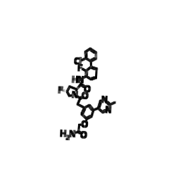 Cc1ncc(-c2cc(CC(=O)N3C[C@H](F)C[C@H]3C(=O)Nc3cccc(-c4ccccc4Cl)c3F)cc(OCC(N)=O)c2)cn1